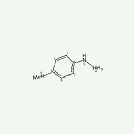 CNc1ccc(NN)cc1